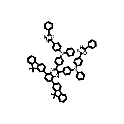 CC1(C)c2ccccc2-c2ccc(-c3ccc(-c4ccc5c(c4)C(C)(C)c4ccccc4-5)c4nc(-c5ccc(N(c6ccccc6)c6ccc(-c7nnc(-c8ccccc8)o7)cc6)cc5)c(-c5ccc(N(c6ccccc6)c6ccc(-c7nnc(-c8ccccc8)o7)cc6)cc5)nc34)cc21